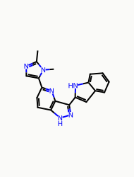 Cc1ncc(-c2ccc3[nH]nc(-c4cc5ccccc5[nH]4)c3n2)n1C